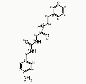 Nc1ccc(CNC(=O)NCC(=O)NCCc2ccccc2)cc1